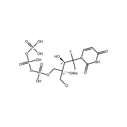 CO[C@](CCl)(COP(=O)(O)OP(=O)(O)OP(=O)(O)O)[C@@H](O)C(F)(F)n1ccc(=O)[nH]c1=O